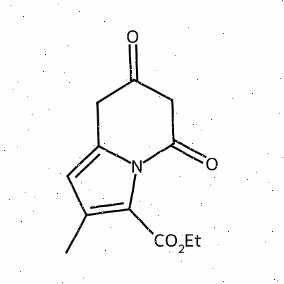 CCOC(=O)c1c(C)cc2n1C(=O)CC(=O)C2